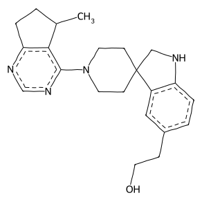 CC1CCc2ncnc(N3CCC4(CC3)CNc3ccc(CCO)cc34)c21